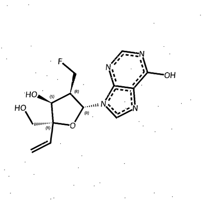 C=C[C@]1(CO)O[C@@H](n2cnc3c(O)ncnc32)[C@H](CF)[C@@H]1O